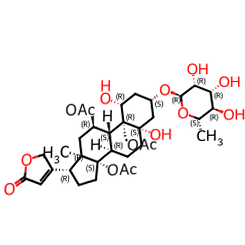 CC(=O)OC[C@@]12[C@@H]3[C@@H](CC[C@]1(O)C[C@@H](O[C@@H]1O[C@@H](C)[C@H](O)[C@@H](O)[C@H]1O)C[C@H]2O)[C@@]1(OC(C)=O)CC[C@H](C2=CC(=O)OC2)[C@@]1(C)C[C@H]3OC(C)=O